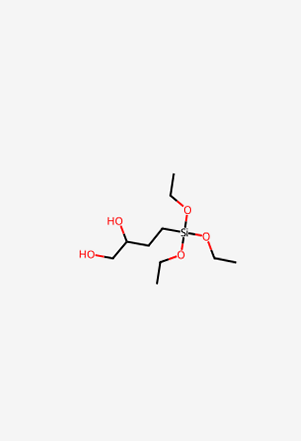 CCO[Si](CCC(O)CO)(OCC)OCC